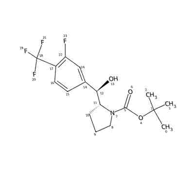 CC(C)(C)OC(=O)N1CCC[C@@H]1[C@H](O)c1ccc(C(F)(F)F)c(F)c1